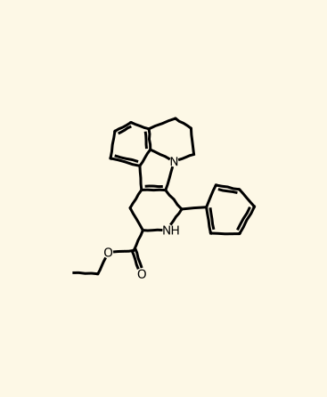 CCOC(=O)C1Cc2c(n3c4c(cccc24)CCC3)C(c2ccccc2)N1